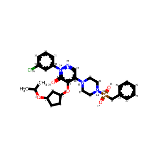 CC(C)OC1CCC(Oc2c(N3CCN(S(=O)(=O)Cc4ccccc4)CC3)cnn(-c3cccc(Cl)c3)c2=O)C1